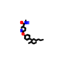 CCCC1CCC(C)C(c2ccc(Oc3ccc(C(=O)NC)cn3)cc2)C1